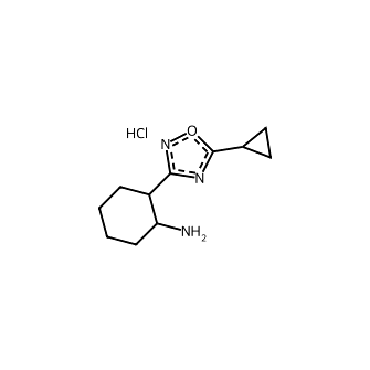 Cl.NC1CCCCC1c1noc(C2CC2)n1